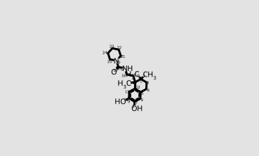 CC1(C)CCc2cc(O)c(O)cc2C1(C)CCNC(=O)N1CCCCC1